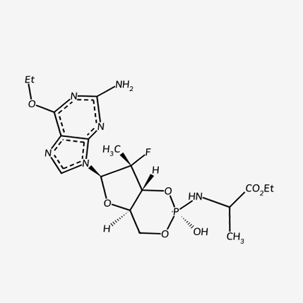 CCOC(=O)C(C)N[P@@]1(O)OC[C@H]2O[C@@H](n3cnc4c(OCC)nc(N)nc43)[C@](C)(F)[C@@H]2O1